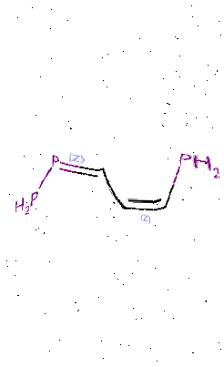 P/C=C\C=P/P